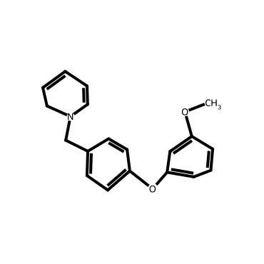 COc1cccc(Oc2ccc(CN3C=CC=CC3)cc2)c1